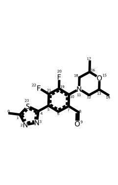 Cc1nnc(-c2cc(C=O)c(N3CC(C)OC(C)C3)c(F)c2F)s1